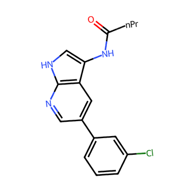 CCCC(=O)Nc1c[nH]c2ncc(-c3cccc(Cl)c3)cc12